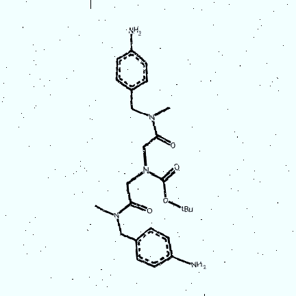 CN(Cc1ccc(N)cc1)C(=O)CN(CC(=O)N(C)Cc1ccc(N)cc1)C(=O)OC(C)(C)C